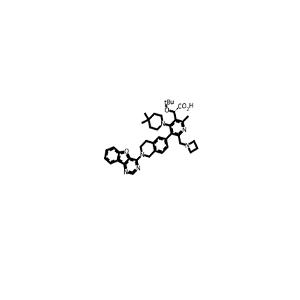 Cc1nc(CN2CCC2)c(-c2ccc3c(c2)CCN(c2ncnc4c2oc2ccccc24)C3)c(N2CCC(C)(C)CC2)c1[C@H](OC(C)(C)C)C(=O)O